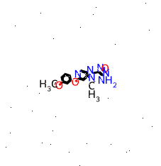 CCn1c(-c2nonc2N)nc2cnc(Oc3cccc(OC)c3)cc21